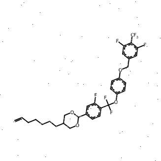 C=CCCCCCC1COC(c2ccc(C(F)(F)Oc3ccc(OCc4cc(F)c(C(F)(F)F)c(F)c4)cc3)c(F)c2)OC1